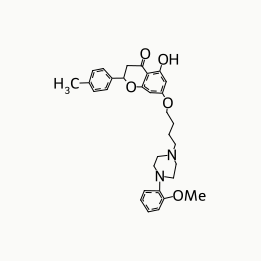 COc1ccccc1N1CCN(CCCCOc2cc(O)c3c(c2)OC(c2ccc(C)cc2)CC3=O)CC1